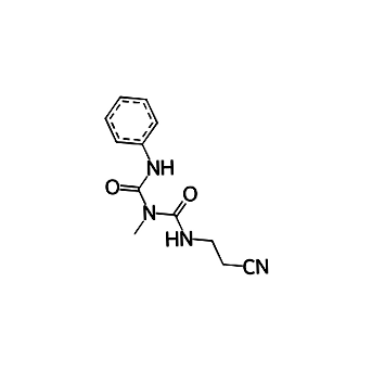 CN(C(=O)NCCC#N)C(=O)Nc1ccccc1